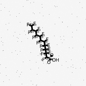 O=S(=O)(O)C(F)C(F)(F)C(F)(F)C(F)(F)C(F)C(F)C(F)C(F)C(F)C(F)C(F)F